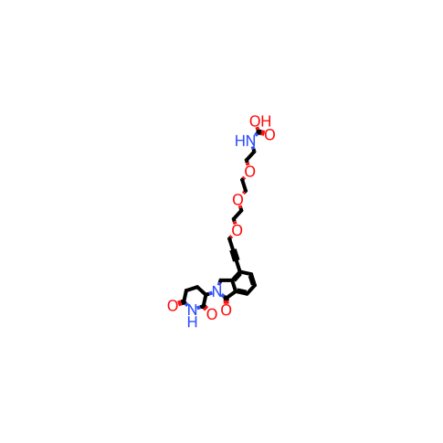 O=C(O)NCCOCCOCCOCC#Cc1cccc2c1CN(C1CCC(=O)NC1=O)C2=O